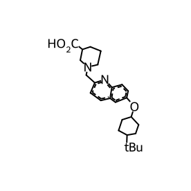 CC(C)(C)C1CCC(Oc2ccc3nc(CN4CCCC(C(=O)O)C4)ccc3c2)CC1